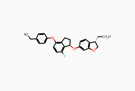 N#CCc1ccc(Oc2ccc(F)c3c2CC[C@H]3Oc2ccc3c(c2)OC[C@H]3CC(=O)O)cc1